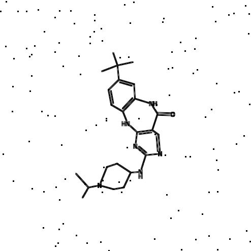 CC(C)N1CCC(Nc2ncc3c(n2)Nc2ccc(C(C)(C)C)cc2NC3=O)CC1